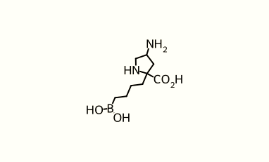 NC1CNC(CCCCB(O)O)(C(=O)O)C1